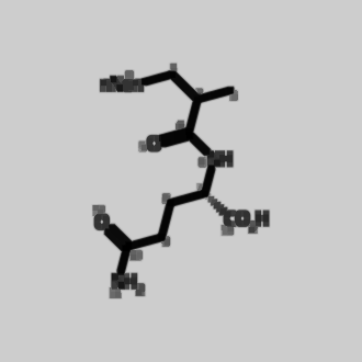 CCCCCCCCCCC(C)C(=O)N[C@@H](CCC(N)=O)C(=O)O